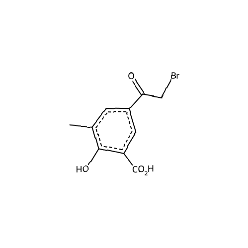 Cc1cc(C(=O)CBr)cc(C(=O)O)c1O